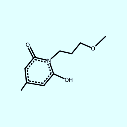 COCCCn1c(O)cc(C)cc1=O